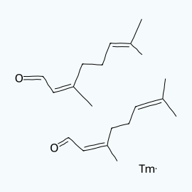 CC(C)=CCC/C(C)=C\C=O.CC(C)=CCC/C(C)=C\C=O.[Tm]